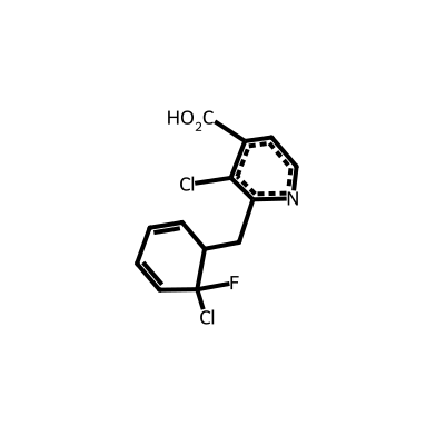 O=C(O)c1ccnc(CC2C=CC=CC2(F)Cl)c1Cl